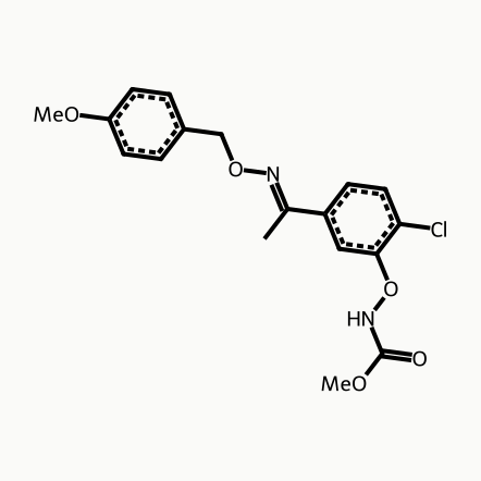 COC(=O)NOc1cc(/C(C)=N/OCc2ccc(OC)cc2)ccc1Cl